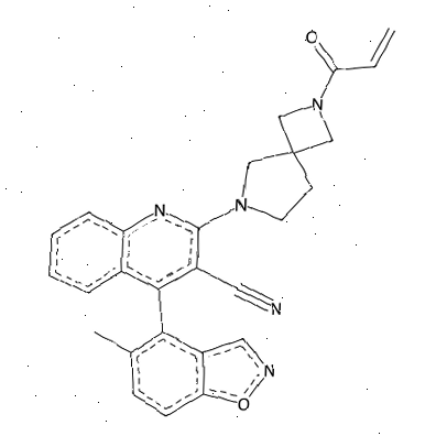 C=CC(=O)N1CC2(CCN(c3nc4ccccc4c(-c4c(C)ccc5oncc45)c3C#N)C2)C1